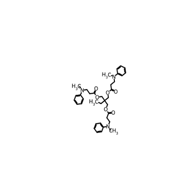 CCC(COC(=O)CCN(C)c1ccccc1)(COC(=O)CCN(C)c1ccccc1)COC(=O)CCN(C)c1ccccc1